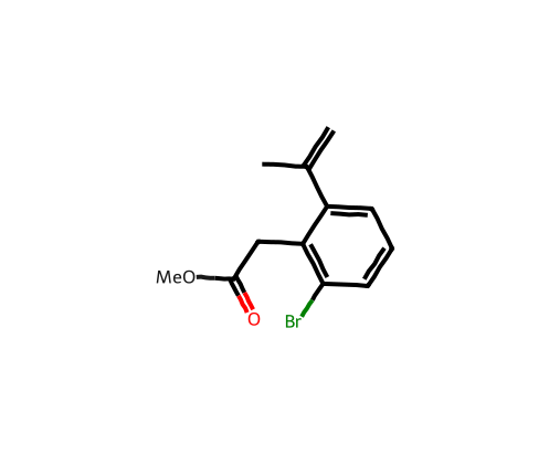 C=C(C)c1cccc(Br)c1CC(=O)OC